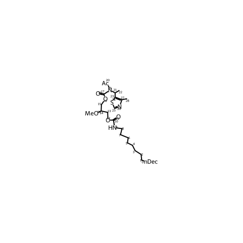 CCCCCCCCCCCCCCCCCCNC(=O)OCC(COC(=O)N(C(C)=O)C(C)c1scnc1C)OC